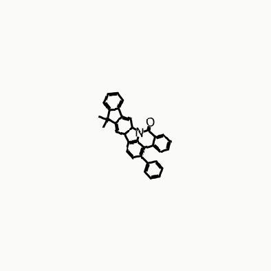 CC1(C)C2=CC3c4ccc(-c5ccccc5)c5c6ccccc6c(=O)n(c45)C3C=C2c2ccccc21